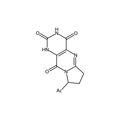 CC(=O)C1CCc2nc3c(=O)[nH]c(=O)[nH]c3c(=O)n21